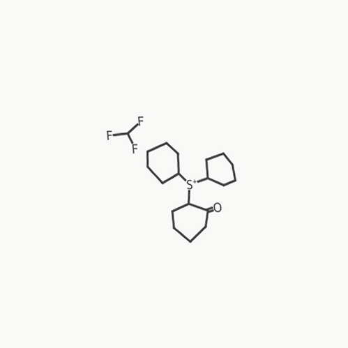 FC(F)F.O=C1CCCCC1[S+](C1CCCCC1)C1CCCCC1